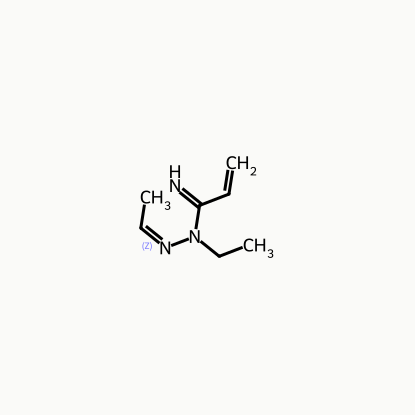 C=CC(=N)N(CC)/N=C\C